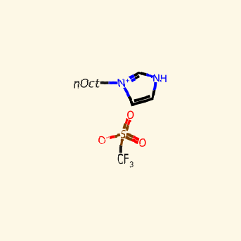 CCCCCCCC[n+]1cc[nH]c1.O=S(=O)([O-])C(F)(F)F